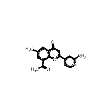 CC(=O)c1cc(C)cc2c(=O)cc(-c3ccnc(N)c3)oc12